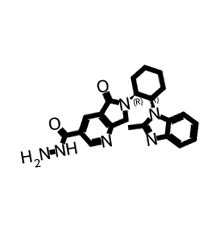 Cc1nc2ccccc2n1[C@@H]1CCCC[C@H]1N1Cc2ncc(C(=O)NN)cc2C1=O